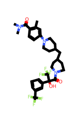 Cc1cc(N2CCC(CC3CCN(C(=O)C(O)(c4cccc(C(F)(F)F)c4)C(F)(F)F)CC3)CC2)ccc1C(=O)N(C)C